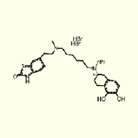 Br.Br.CCCN(CCCCCCN(C)CCc1ccc2[nH]c(=O)sc2c1)[C@H]1CCc2c(ccc(O)c2O)C1